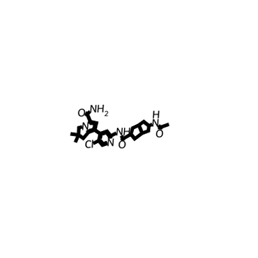 CC(=O)NC1CC2CC(C(=O)Nc3cc(-c4cc(C(N)=O)n5c4CC(C)(C)C5)c(Cl)cn3)CC2C1